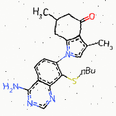 CCCCSc1c(-n2cc(C)c3c2CC(C)CC3=O)ccc2c(N)ncnc12